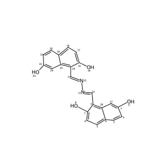 Oc1ccc2ccc(O)c(C=NN=Cc3c(O)ccc4ccc(O)cc34)c2c1